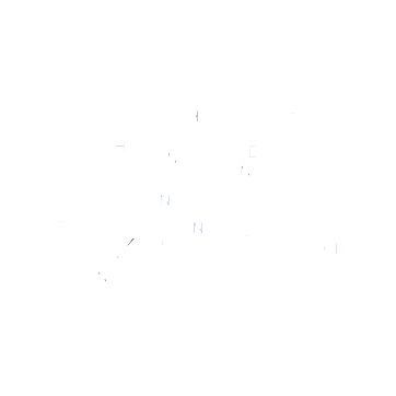 CCc1c(F)ccc2cc(O)cc(-c3ncc4c(N5C[C@H]6CC[C@@H](C5)S6)nc(OC[C@@]56CCCN5C[C@H](F)C6)nc4c3F)c12